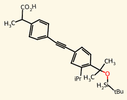 CC(C)c1cc(C#Cc2ccc(C(C)C(=O)O)cc2)ccc1C(C)(C)O[SiH2]C(C)(C)C